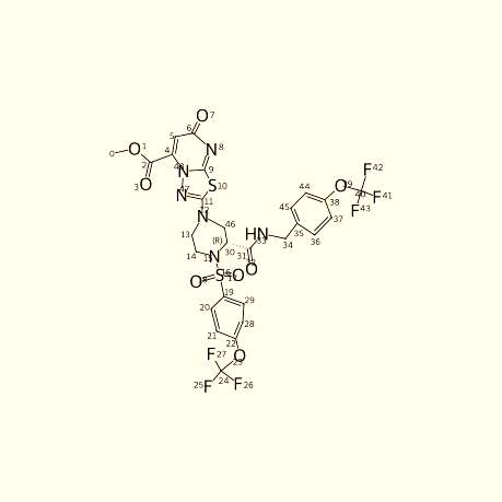 COC(=O)c1cc(=O)nc2sc(N3CCN(S(=O)(=O)c4ccc(OC(F)(F)F)cc4)[C@@H](C(=O)NCc4ccc(OC(F)(F)F)cc4)C3)nn12